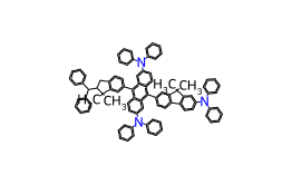 CC1(C)c2cc(-c3c4ccc(N(c5ccccc5)c5ccccc5)cc4c(-c4ccc5c(c4)C(C)(C)C(C(c4ccccc4)c4ccccc4)C5)c4ccc(N(c5ccccc5)c5ccccc5)cc34)ccc2-c2ccc(N(c3ccccc3)c3ccccc3)cc21